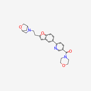 O=C(c1ccc(-c2ccc3oc(CCN4CC5CC4CO5)cc3c2)nc1)N1CCOCC1